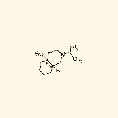 CC(C)N1CC[C@]2(O)CCCC[C@@H]2C1